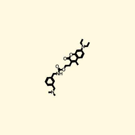 CCN(CC)c1ccc2c(C)c(CCOC(=O)NCc3cccc(CN(C)C)c3)c(=O)oc2c1